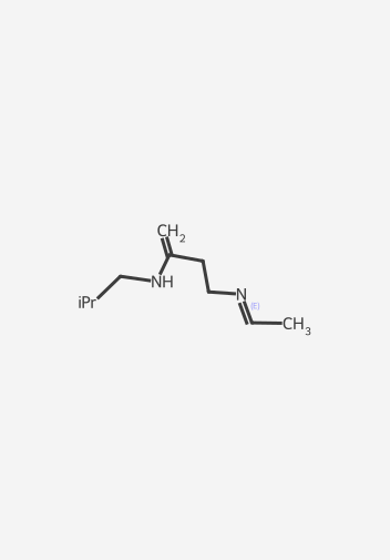 C=C(CC/N=C/C)NCC(C)C